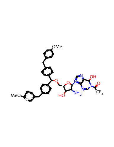 COc1ccc(Cc2ccc(C(OC[C@H]3O[C@@H](n4cnc5c4N=CN(C(=O)C(F)(F)F)C5O)C(N)C3O)c3ccc(Cc4ccc(OC)cc4)cc3)cc2)cc1